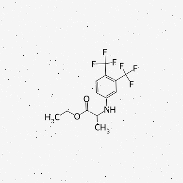 CCOC(=O)C(C)Nc1ccc(C(F)(F)F)c(C(F)(F)F)c1